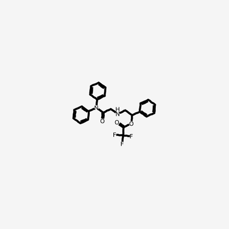 O=C(CNCC(OC(=O)C(F)(F)F)c1ccccc1)N(c1ccccc1)c1ccccc1